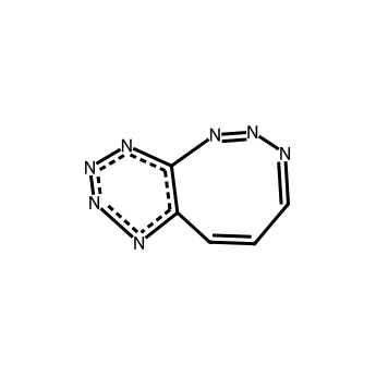 C1=Cc2nnnnc2N=NN=C1